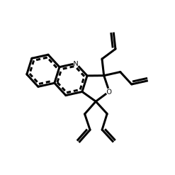 C=CCC1(CC=C)OC(CC=C)(CC=C)c2nc3ccccc3cc21